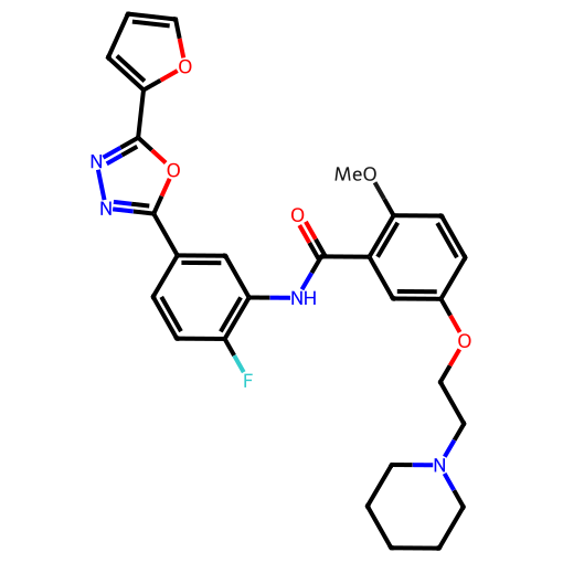 COc1ccc(OCCN2CCCCC2)cc1C(=O)Nc1cc(-c2nnc(-c3ccco3)o2)ccc1F